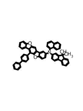 CC1(C)c2ccccc2-c2ccc(N(c3ccc4oc5c(-c6ccc(-c7ccccc7)cc6)c6c(cc5c4c3)oc3ccccc36)c3cccc4ccccc34)cc21